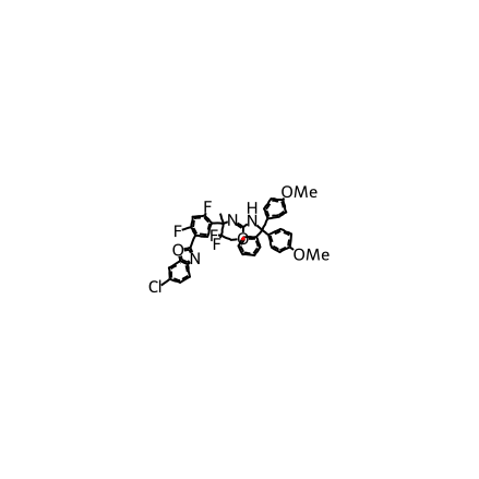 COc1ccc(C(NC2=NC(C)(c3cc(-c4nc5ccc(Cl)cc5o4)c(F)cc3F)C(F)(F)CO2)(c2ccccc2)c2ccc(OC)cc2)cc1